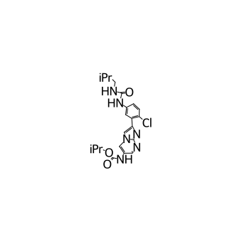 CC(C)CNC(=O)Nc1ccc(Cl)c(-c2cn3cc(NC(=O)OC(C)C)cnc3n2)c1